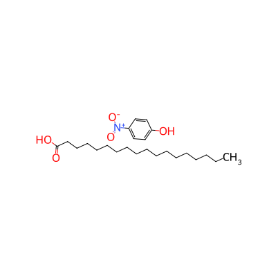 CCCCCCCCCCCCCCCCCC(=O)O.O=[N+]([O-])c1ccc(O)cc1